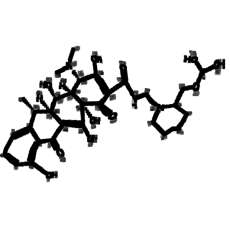 C[C@H]1c2cccc(O)c2C(=O)C2=C(O)[C@]3(O)C(=O)C(C(=O)NCN4CCCCC4CON(O)O)=C(O)[C@@H](N(C)C)[C@@H]3[C@@H](O)[C@@H]21